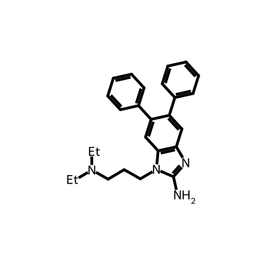 CCN(CC)CCCn1c(N)nc2cc(-c3ccccc3)c(-c3ccccc3)cc21